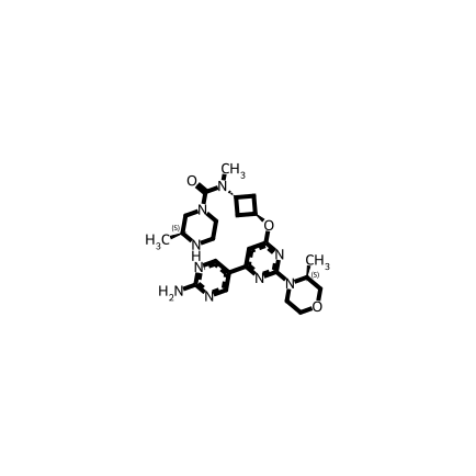 C[C@H]1CN(C(=O)N(C)[C@H]2C[C@H](Oc3cc(-c4cnc(N)nc4)nc(N4CCOC[C@@H]4C)n3)C2)CCN1